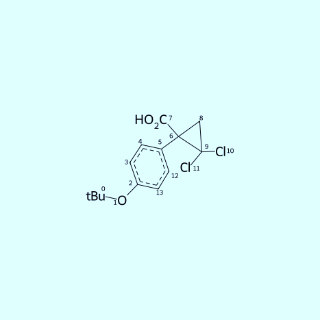 CC(C)(C)Oc1ccc(C2(C(=O)O)CC2(Cl)Cl)cc1